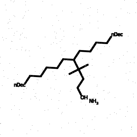 CCCCCCCCCCCCCCCC(CCCCCCCCCCCCCC)C(C)(C)CCO.N